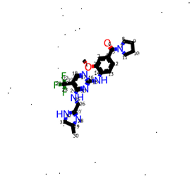 COc1cc(C(=O)N2CCCC2)ccc1Nc1ncc(C(F)(F)F)c(NCC2=NC(C)CN2)n1